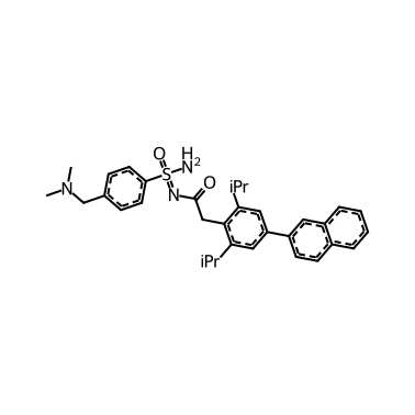 CC(C)c1cc(-c2ccc3ccccc3c2)cc(C(C)C)c1CC(=O)N=S(N)(=O)c1ccc(CN(C)C)cc1